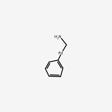 N[CH2][Pd][c]1ccccc1